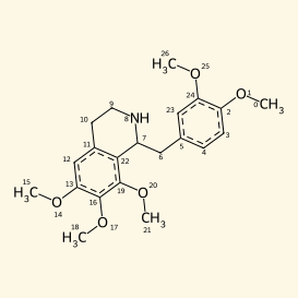 COc1ccc(CC2NCCc3cc(OC)c(OC)c(OC)c32)cc1OC